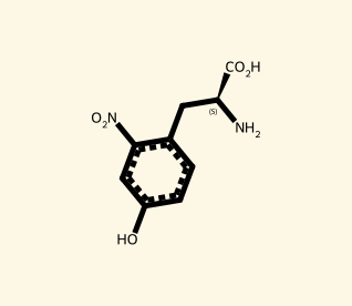 N[C@@H](Cc1ccc(O)cc1[N+](=O)[O-])C(=O)O